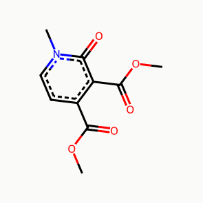 COC(=O)c1ccn(C)c(=O)c1C(=O)OC